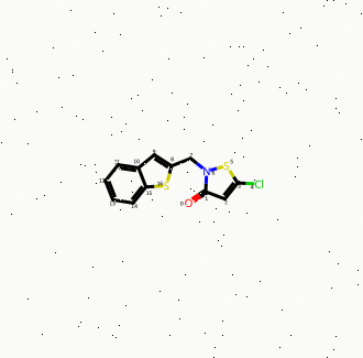 O=c1cc(Cl)sn1Cc1cc2ccccc2s1